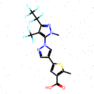 Cc1sc(-c2cnn(-c3c(C(F)(F)F)c(C(F)(F)C(F)(F)F)nn3C)c2)cc1C(=O)O